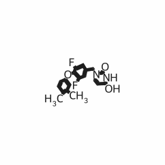 Cc1ccc(Oc2c(F)cc(CN3C=CC(O)NC3=O)cc2F)cc1C